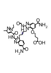 CCn1nc(C)cc1C(=O)Nc1nc2cc(C(N)=O)ccc2n1C/C=C/Cn1c(NC=O)nc2cc(C(N)=O)cc(OCCCC(=O)O)c21